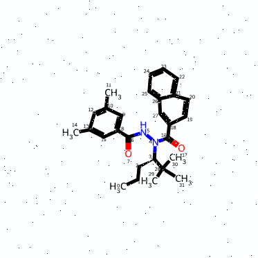 CCC[C@@H](N(NC(=O)c1cc(C)cc(C)c1)C(=O)c1ccc2ccccc2c1)C(C)(C)C